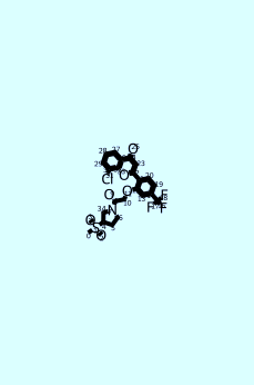 CS(=O)(=O)C1CCN(C(=O)COc2cc(C(F)(F)F)ccc2-c2cc(=O)c3cccc(Cl)c3o2)C1